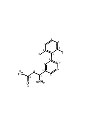 Cc1cccc(C)c1-c1cc(C(N)CC(=O)O)ccn1